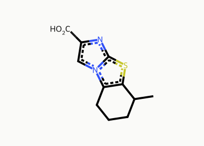 CC1CCCc2c1sc1nc(C(=O)O)cn21